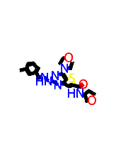 Cc1cccc(/C=N/Nc2nc(N3CCOCC3)c3sc(C(=O)NC4CCOC4)cc3n2)c1